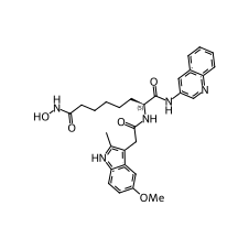 COc1ccc2[nH]c(C)c(CC(=O)N[C@@H](CCCCCC(=O)NO)C(=O)Nc3cnc4ccccc4c3)c2c1